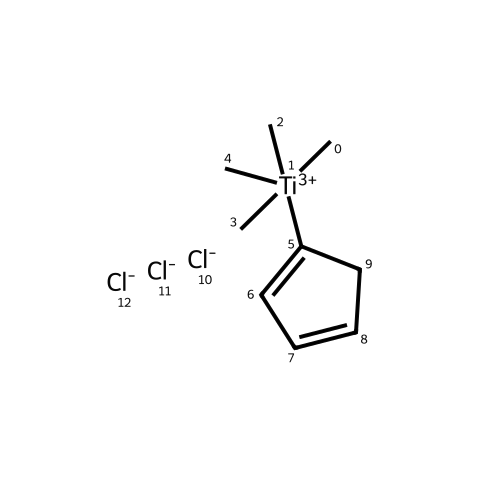 [CH3][Ti+3]([CH3])([CH3])([CH3])[C]1=CC=CC1.[Cl-].[Cl-].[Cl-]